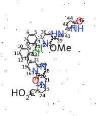 COc1nc(-c2cccc(-c3cccc(-c4ccn5c(=O)c(CN6CCC(C(=O)O)C6)cnc5c4)c3Cl)c2Cl)ccc1CNC[C@@H]1CCC(=O)N1